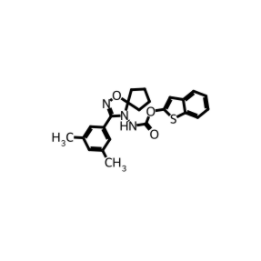 Cc1cc(C)cc(C2=NOC3(CCCC3)N2NC(=O)Oc2cc3ccccc3s2)c1